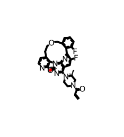 C=CC(=O)N1CCN(c2nc(=O)n3c4nc(c(F)cc24)-c2c(F)cccc2COCCc2ccnc(C(C)C)c2-3)[C@@H](C)C1